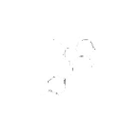 CC(=O)c1cn(Cc2ccc(F)cn2)c2c(Cl)ccnc12